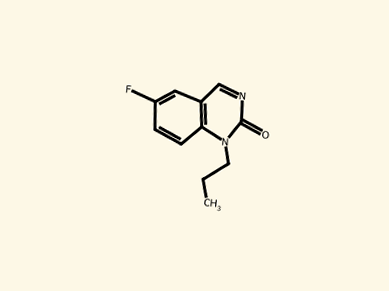 CCCn1c(=O)ncc2cc(F)ccc21